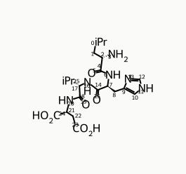 CC(C)C[C@H](N)C(=O)N[C@@H](Cc1c[nH]cn1)C(=O)N[C@H](C(=O)N[C@@H](CC(=O)O)C(=O)O)C(C)C